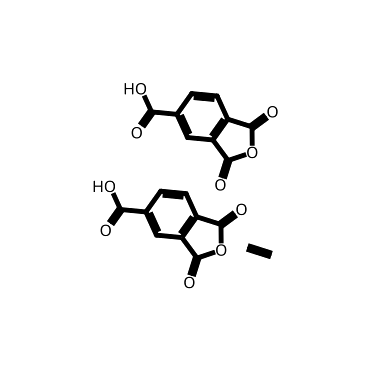 C=C.O=C(O)c1ccc2c(c1)C(=O)OC2=O.O=C(O)c1ccc2c(c1)C(=O)OC2=O